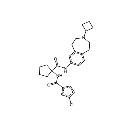 O=C(NC1(C(=O)Nc2ccc3c(c2)CCN(C2CCC2)CC3)CCCC1)c1ccc(Cl)s1